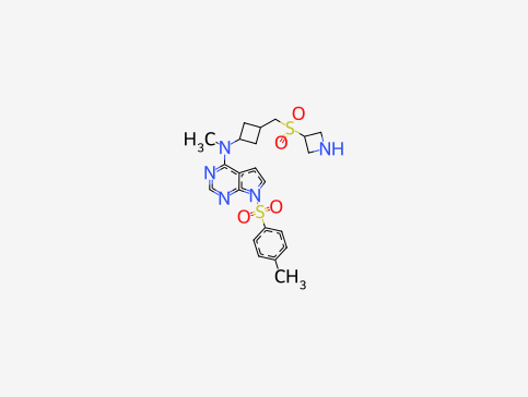 Cc1ccc(S(=O)(=O)n2ccc3c(N(C)C4CC(CS(=O)(=O)C5CNC5)C4)ncnc32)cc1